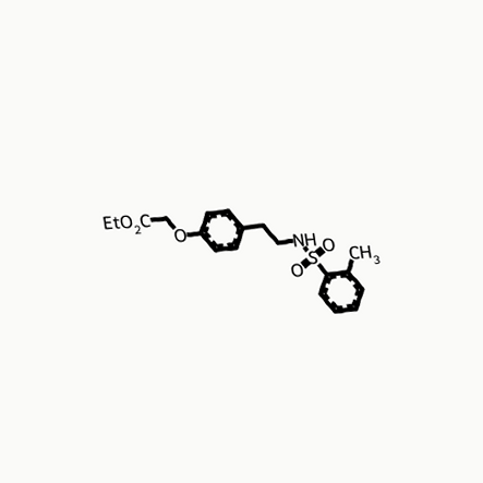 CCOC(=O)COc1ccc(CCNS(=O)(=O)c2ccccc2C)cc1